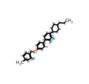 CCCC1CCC(c2ccc(-c3ccc(OCc4ccc(C)cc4F)cc3)c(F)c2F)CC1